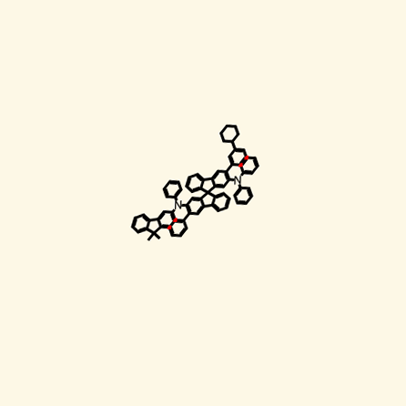 CC1(C)c2ccccc2-c2cc(N(c3ccccc3)c3cc4c(cc3-c3ccccc3)-c3ccccc3C43c4ccccc4-c4cc(-c5cccc(C6CCCCC6)c5)c(N(c5ccccc5)c5ccccc5)cc43)ccc21